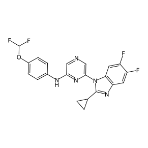 Fc1cc2nc(C3CC3)n(-c3cncc(Nc4ccc(OC(F)F)cc4)n3)c2cc1F